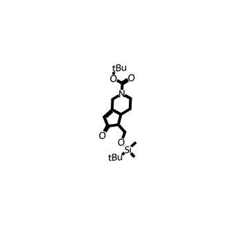 CC(C)(C)OC(=O)N1CCC2C(=CC(=O)C2CO[Si](C)(C)C(C)(C)C)C1